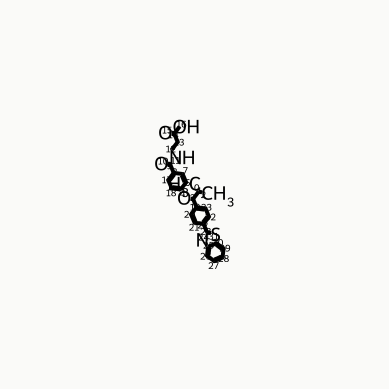 CC(C)C(Oc1ccc(C(=O)NCCC(=O)O)cc1)c1ccc(-c2nc3ccccc3s2)cc1